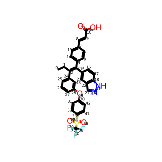 CCC(=C(c1ccc(C=CC(=O)O)cc1)c1ccc2[nH]ncc2c1)c1cccc(Oc2ccc(S(=O)(=O)C(F)(F)F)cc2)c1